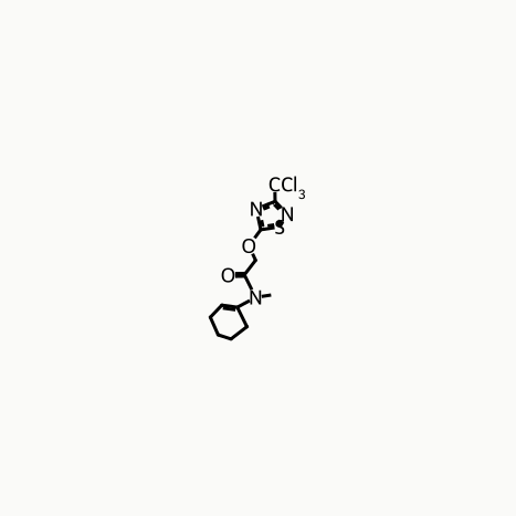 CN(C(=O)COc1nc(C(Cl)(Cl)Cl)ns1)C1=CCCCC1